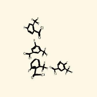 O=C(Cl)c1c(F)cccc1C(F)(F)F.O=C(Cl)c1cc(F)cc(C(F)(F)F)c1.O=C(Cl)c1ccc(F)c(C(F)(F)F)c1.O=C(Cl)c1ccc(F)cc1C(F)(F)F